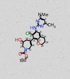 CNc1cc(C)nc(Nc2cc3c(c(C4=CCN(C(=O)OC(C)(C)C)CC(O)C4)c2Cl)OCCC3)n1